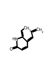 C=C/C=c1/ccc(=O)[nH]/c1=C/C